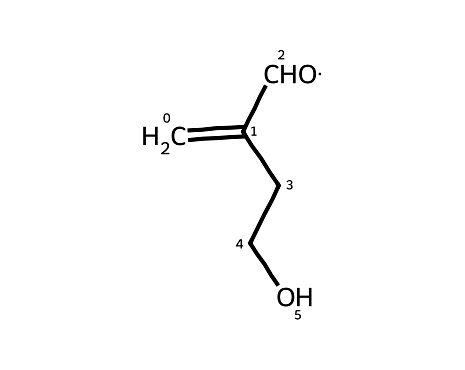 C=C([C]=O)CCO